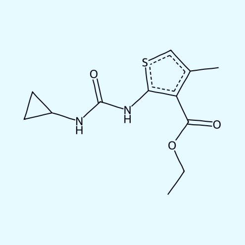 CCOC(=O)c1c(C)csc1NC(=O)NC1CC1